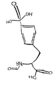 O=CN[C@@H](Cc1ccc(P(=O)(O)O)cc1)C(=O)O